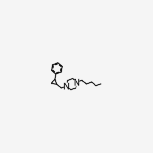 CCCCCN1CCN(CC2CC2c2ccccc2)CC1